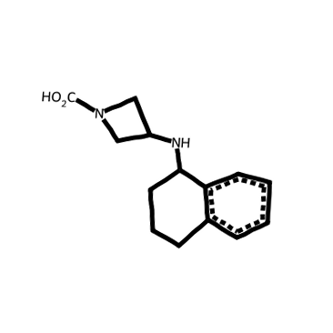 O=C(O)N1CC(NC2CCCc3ccccc32)C1